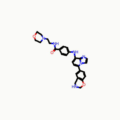 O=C(NCCN1CCOCC1)c1ccc(Nc2ccc(-c3ccc4c(c3)CNCO4)n3ccnc23)cc1